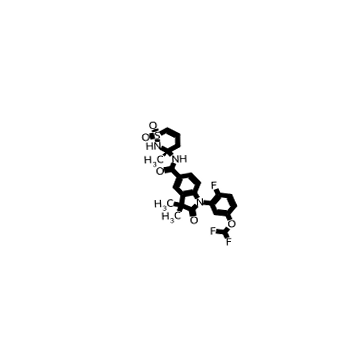 CC1(C)C(=O)N(c2cc(OC(F)F)ccc2F)c2ccc(C(=O)N[C@@]3(C)CC=CS(=O)(=O)N3)cc21